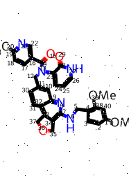 COc1ccc(CNc2nc3cc(CN(C(=O)c4ccc(C(F)(F)F)nc4)c4ccc[nH]c4=O)ccc3c3c2COC3)c(OC)c1